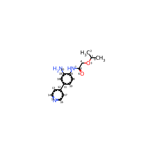 CC(C)OCC(=O)Nc1ccc(-c2ccncc2)cc1N